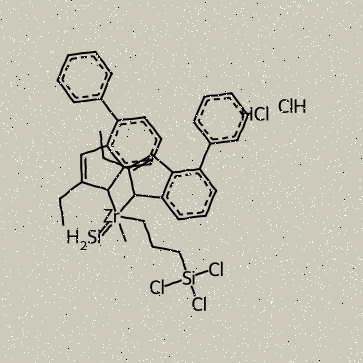 CCC1=Cc2c(-c3ccccc3)cccc2[CH]1[Zr]([CH3])(=[SiH2])([CH2]CC[Si](Cl)(Cl)Cl)[CH]1C(CC)=Cc2c(-c3ccccc3)cccc21.Cl.Cl